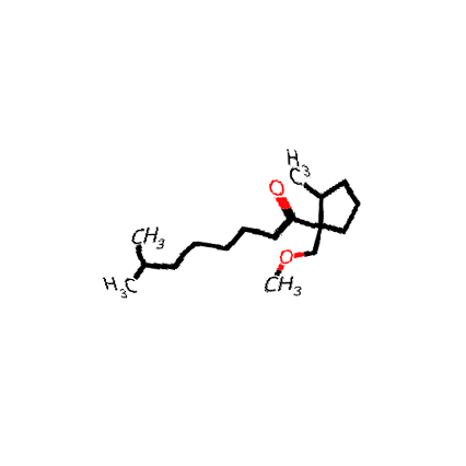 COCC1(C(=O)CCCCCC(C)C)CCCC1C